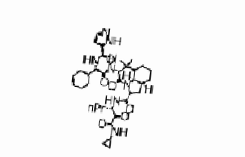 CCC[C@H](NC(=O)[C@@H]1C[C@@H]2CCCC3[C@@H]2N1C(=O)[C@@H](NC(=O)[C@@H](NC(=O)c1ccn[nH]1)C1CCCCC1)C3(C)C)C(=O)C(=O)NC1CC1